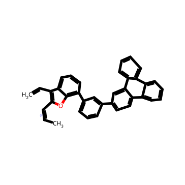 C=Cc1c(/C=C\C)oc2c(-c3cccc(-c4ccc5c6ccccc6c6ccccc6c5c4)c3)cccc12